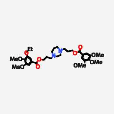 CCOc1cc(C(=O)OCCCN2CCCN(CCCOC(=O)c3cc(OC)c(OC)c(OC)c3)CC2)cc(OC)c1OC